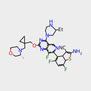 CCC1CN(c2nc(OCC3(CN4CCOC[C@H]4C)CC3)nc3c(F)c(C4=C(F)C=C(F)C5SC(N)=C(C#N)C45)ncc23)CCN1